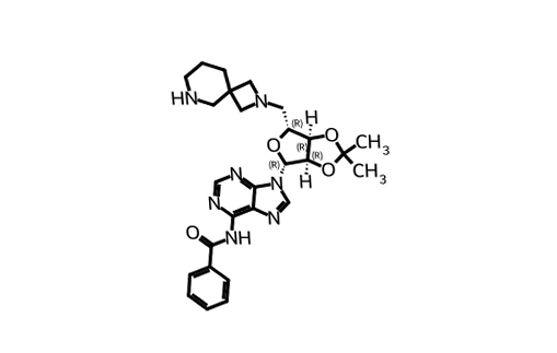 CC1(C)O[C@@H]2[C@H](O1)[C@@H](CN1CC3(CCCNC3)C1)O[C@H]2n1cnc2c(NC(=O)c3ccccc3)ncnc21